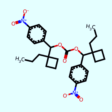 CCCC1(C(OC(=O)OC(c2ccc([N+](=O)[O-])cc2)C2(CCC)CCC2)c2ccc([N+](=O)[O-])cc2)CCC1